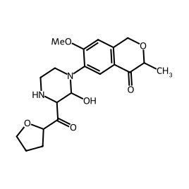 COc1cc2c(cc1N1CCNC(C(=O)C3CCCO3)C1O)C(=O)C(C)OC2